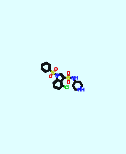 O=S(=O)(NC1CCNCC1)c1cn(S(=O)(=O)c2ccccc2)c2cccc(Cl)c12